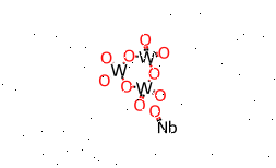 [O]=[Nb].[O]=[W]1(=[O])[O][W](=[O])(=[O])[O][W](=[O])(=[O])[O]1